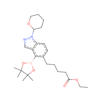 CCOC(=O)CCCCc1ccc2c(cnn2C2CCCCO2)c1B1OC(C)(C)C(C)(C)O1